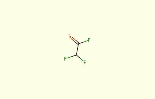 FC(=S)C(F)F